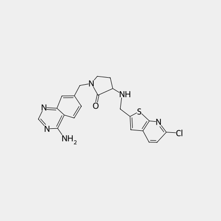 Nc1ncnc2cc(CN3CCC(NCc4cc5ccc(Cl)nc5s4)C3=O)ccc12